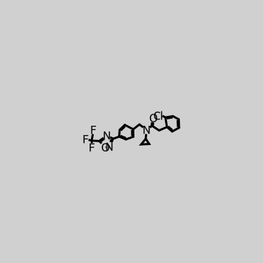 O=C(Cc1ccccc1Cl)N(Cc1ccc(-c2noc(C(F)(F)F)n2)cc1)C1CC1